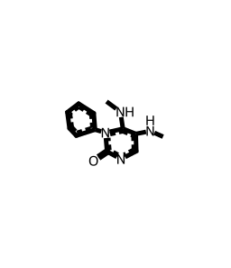 CNc1cnc(=O)n(-c2ccccc2)c1NC